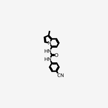 Cc1ccn2c(NC(=O)Nc3ccc(C#N)cc3)cccc12